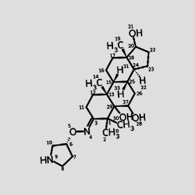 CC1(C)/C(=N/O[C@@H]2CCNC2)CC[C@]2(C)[C@@H]3CC[C@]4(C)C(O)CC[C@H]4[C@@H]3CC(O)C12O